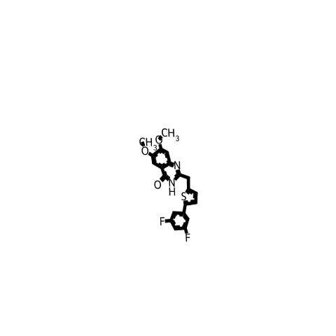 COc1cc2nc(Cc3ccc(-c4cc(F)cc(F)c4)s3)[nH]c(=O)c2cc1OC